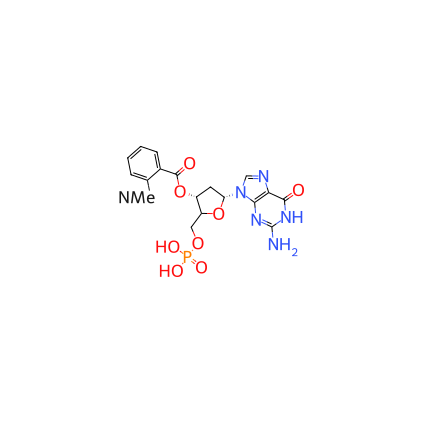 CNc1ccccc1C(=O)O[C@@H]1C[C@H](n2cnc3c(=O)[nH]c(N)nc32)OC1COP(=O)(O)O